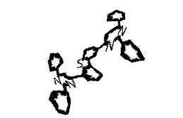 c1ccc(-c2cc(-c3ccc4sc5c(-c6cc(-c7ccccc7)nc(-c7ccccc7)n6)cccc5c4c3)nc(-c3ccccc3)n2)cc1